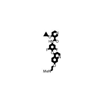 CNCCOc1ccc2c(Oc3c(F)cc(NC(=O)c4cnccc4OC4CC4)cc3F)ccnc2c1